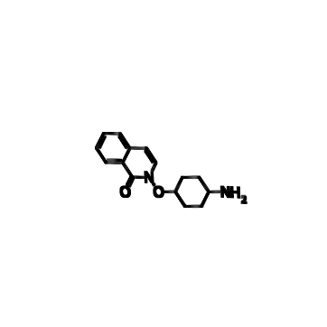 NC1CCC(On2ccc3ccccc3c2=O)CC1